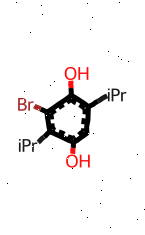 CC(C)c1cc(O)c(C(C)C)c(Br)c1O